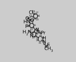 CC(C)n1nc(-c2ccc(NS(=O)(=O)Cc3ccccc3Cl)c(F)c2)c2c(N)ncc(C3=CC[C@H](NC[C@@H](C)F)CC3)c21